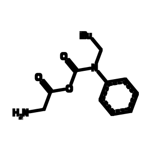 CCC(C)CN(C(=O)OC(=O)CN)c1ccccc1